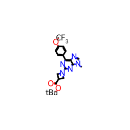 Cn1cnc2c(-c3ccc(OC(F)(F)F)cc3)nc(N3CC(C(=O)OC(C)(C)C)C3)nc21